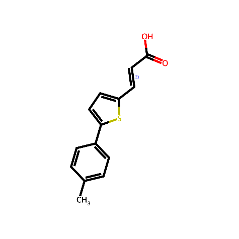 Cc1ccc(-c2ccc(/C=C/C(=O)O)s2)cc1